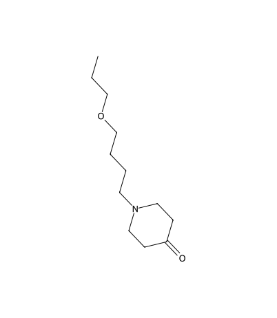 CCCOCCCCN1CCC(=O)CC1